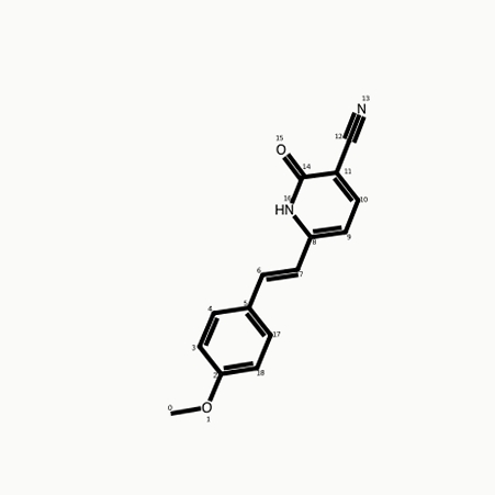 COc1ccc(/C=C/c2ccc(C#N)c(=O)[nH]2)cc1